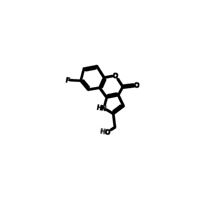 O=c1oc2ccc(F)cc2c2[nH]c(CO)cc12